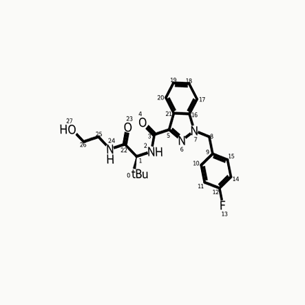 CC(C)(C)[C@H](NC(=O)c1nn(Cc2ccc(F)cc2)c2ccccc12)C(=O)NCCO